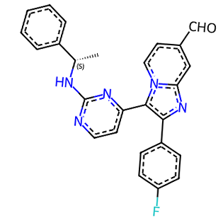 C[C@H](Nc1nccc(-c2c(-c3ccc(F)cc3)nc3cc(C=O)ccn23)n1)c1ccccc1